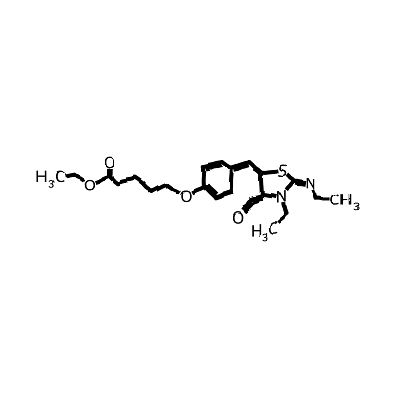 CCN=C1SC(C=C2C=CC(OCCCCC(=O)OCC)=CC2)C(=C=O)N1CC